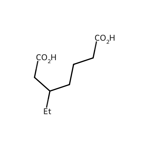 CCC(CCCC(=O)O)CC(=O)O